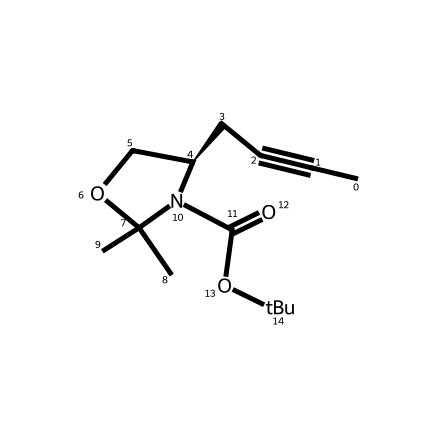 CC#CC[C@@H]1COC(C)(C)N1C(=O)OC(C)(C)C